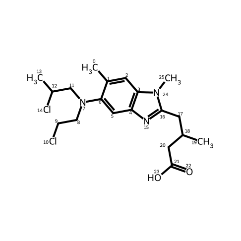 Cc1cc2c(cc1N(CCCl)CC(C)Cl)nc(CC(C)CC(=O)O)n2C